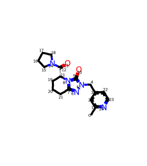 Cc1cc(Cn2nc3n(c2=O)[C@@H](C(=O)N2CCCC2)CCC3)ccn1